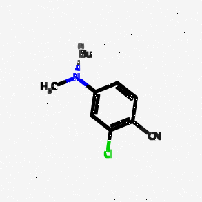 CC[C@@H](C)N(C)c1ccc(C#N)c(Cl)c1